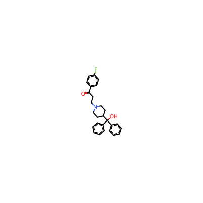 O=C(CCN1CCC(C(O)(c2ccccc2)c2ccccc2)CC1)c1ccc(F)cc1